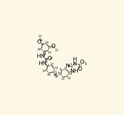 COC(=O)Nc1nc2cc(Sc3ccc(NC(=O)Nc4cc(OC)cc(OC)c4)cc3)ccc2[nH]1